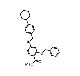 COC(=O)c1ccc(NCc2ccc(C3CCCCC3)cc2)cc1OCc1ccccc1